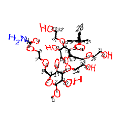 CO[C@H]1OC(COCCOC(N)=O)[C@@H](O[C@H]2OC(COCCO)[C@@H](OC(C)(C)C)C(OCCO)C2O)C(OCCO)C1O